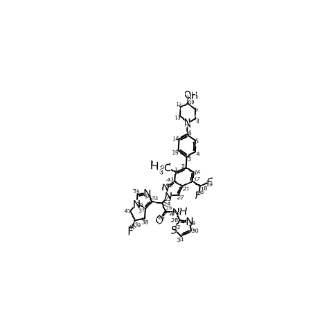 Cc1c(-c2ccc(N3CCC(O)CC3)cc2)cc(C(F)F)c2cn(C(C(=O)Nc3nccs3)c3ncn4c3C[C@@H](F)C4)nc12